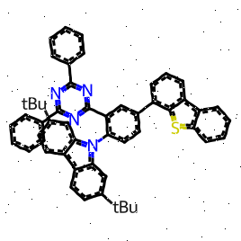 CC(C)(C)c1ccc2c3ccc(C(C)(C)C)cc3n(-c3ccc(-c4cccc5c4sc4ccccc45)cc3-c3nc(-c4ccccc4)nc(-c4ccccc4)n3)c2c1